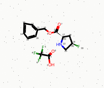 O=C(O)C(F)(F)F.O=C(OCc1ccccc1)[C@@H]1C[C@@H](F)CN1